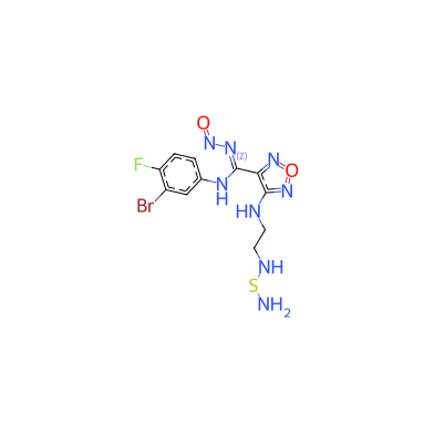 NSNCCNc1nonc1/C(=N/N=O)Nc1ccc(F)c(Br)c1